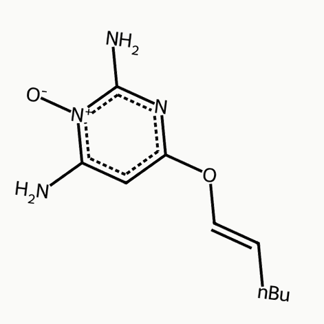 CCCCC=COc1cc(N)[n+]([O-])c(N)n1